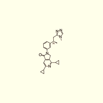 C[C@H](Cc1nncn1C)c1cccc(N2Cc3c(cc(C4CC4)nc3C3CC3)C2=O)c1